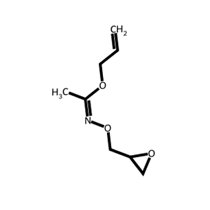 C=CCOC(C)=NOCC1CO1